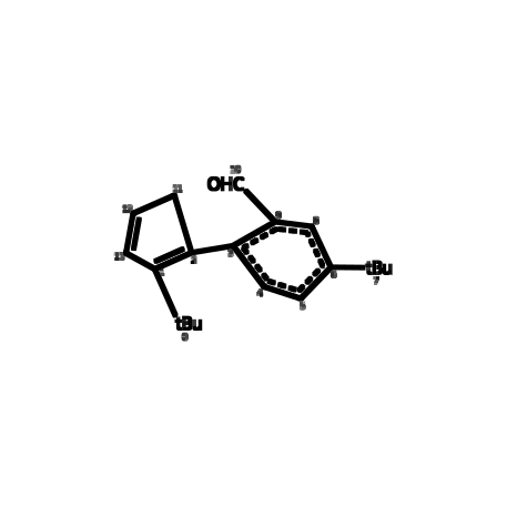 CC(C)(C)C1=C(c2ccc(C(C)(C)C)cc2C=O)CC=C1